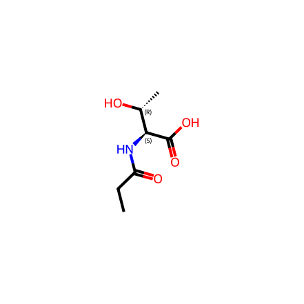 CCC(=O)N[C@H](C(=O)O)[C@@H](C)O